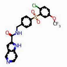 O=C(NCc1ccc(S(=O)(=O)c2cc(OC(F)(F)F)ccc2Cl)cc1)c1cc2cnccc2[nH]1